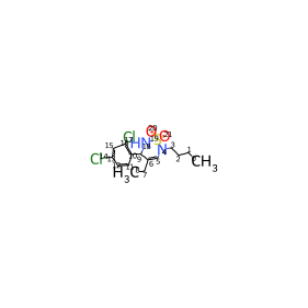 CCCCN1C=C(CC)C(c2ccc(Cl)cc2Cl)NS1(=O)=O